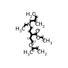 C=CC(=C)CN(CC)CCC(CCOC(C)C=C)C(=O)OCC